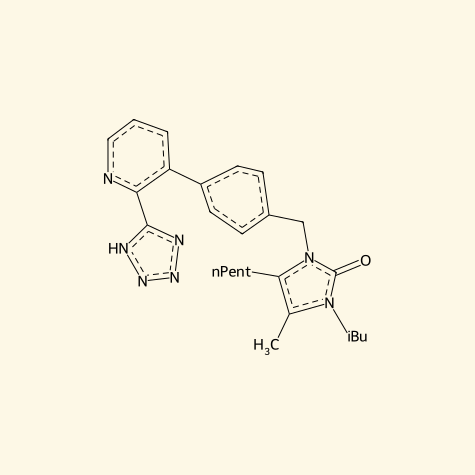 CCCCCc1c(C)n(C(C)CC)c(=O)n1Cc1ccc(-c2cccnc2-c2nnn[nH]2)cc1